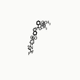 CN(c1ccccc1C(=O)N1CCc2cc(S(=O)(=O)N3CCN(c4nc(C(F)F)cs4)CC3)ccc21)S(C)(=O)=O